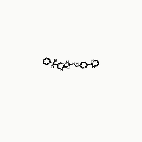 O=S(=O)(c1ccccc1)c1cnc2nc(NCc3ccc(-c4ncccn4)cc3)nn2c1